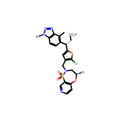 CC[C@@H]1CN(Cc2cc([C@@H](CC(=O)O)c3ccc4c(nnn4CC)c3C)sc2Cl)S(=O)(=O)c2cnccc2O1